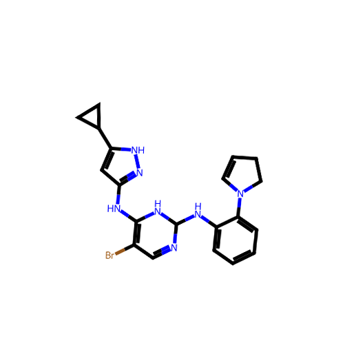 BrC1=C(Nc2cc(C3CC3)[nH]n2)NC(Nc2ccccc2N2C=CCC2)N=C1